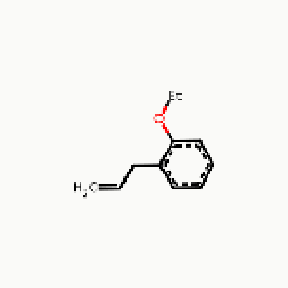 [CH2]COc1ccccc1CC=C